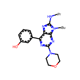 CCC(C)n1c(NC(C)C)nc2c(-c3cccc(O)c3)nc(N3CCOCC3)nc21